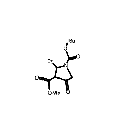 CCC1C(C(=O)OC)C(=O)CN1C(=O)OC(C)(C)C